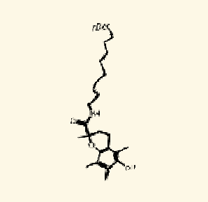 CCCCCCCCCCCCCCCCCCNC(=O)C1(C)CCc2c(C)c(O)c(C)c(C)c2O1